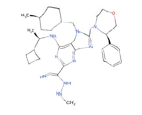 CNNC(=N)c1nc(N[C@H](C)C2CCC2)c2c(n1)nc(N1CCOC[C@H]1c1ccccc1)n2C[C@H]1CC[C@H](C)CC1